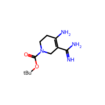 CC(C)(C)OC(=O)N1CCC(N)=C(C(=N)N)C1